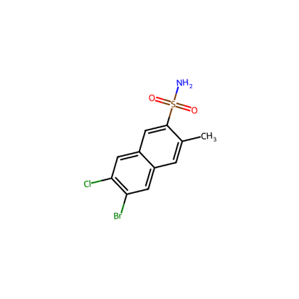 Cc1cc2cc(Br)c(Cl)cc2cc1S(N)(=O)=O